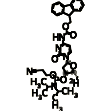 [2H]C[C@H]1O[C@@H](n2ccc(NC(=O)OCC3c4ccccc4-c4ccccc43)nc2=O)C[C@H]1OP(OCCC#N)N(C(C)C)C(C)C